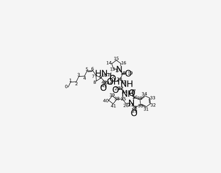 CCCCC/C=C\C1C[C@]1(NC(=O)[C@@H]1CCCN1C(=O)CNC(=O)NC(CN1C(=O)c2ccccc2C1=O)C1CCC1)C(=O)O